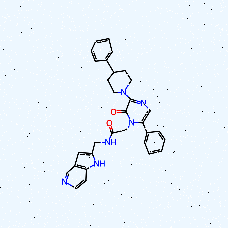 O=C(Cn1c(-c2ccccc2)cnc(N2CCC(c3ccccc3)CC2)c1=O)NCc1cc2cnccc2[nH]1